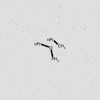 CCCC.CCCOP